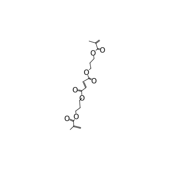 C=C(C)C(=O)OCCCOC(=O)C=CC(=O)OCCCOC(=O)C(=C)C